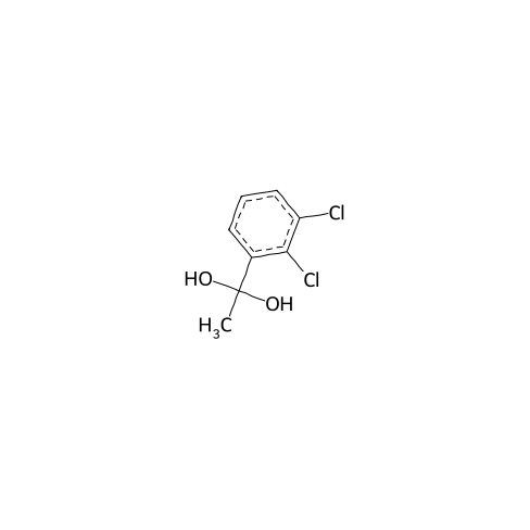 CC(O)(O)c1cccc(Cl)c1Cl